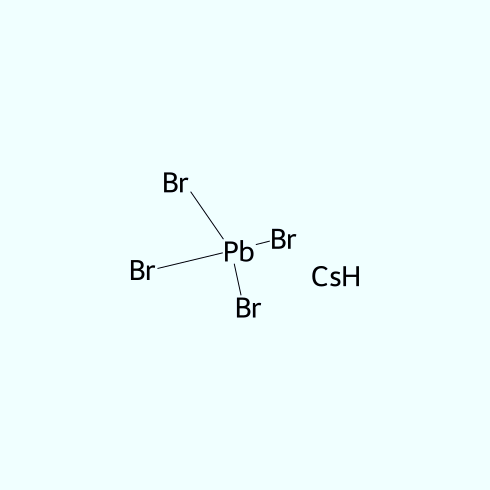 [Br][Pb]([Br])([Br])[Br].[CsH]